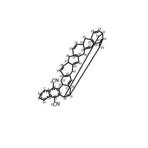 N#Cc1c2c(c(C#N)c3ccccc13)C1CC3=C4C=C1CC1=C2CC2C=CC5=C(C=C6CC7=C(C=CC6C5)CC(C=C3)C(=C7)C4)CC2=C1